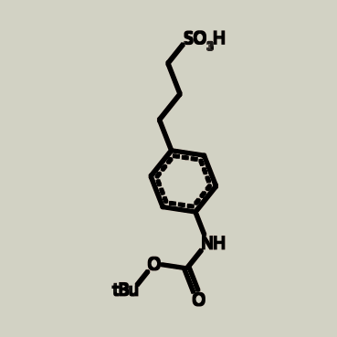 CC(C)(C)OC(=O)Nc1ccc(CCCS(=O)(=O)O)cc1